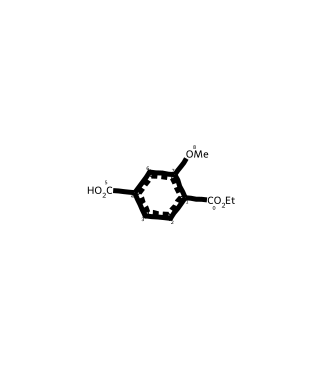 CCOC(=O)c1ccc(C(=O)O)cc1OC